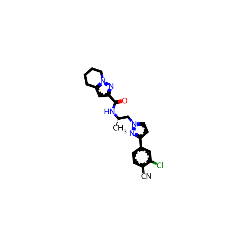 C[C@@H](Cn1ccc(-c2ccc(C#N)c(Cl)c2)n1)NC(=O)c1cc2n(n1)CCCC2